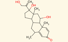 C=C(CO)C1(O)CCC2C3CC(C)C4=CC(=O)C=CC4(C)C3C(O)CC21C